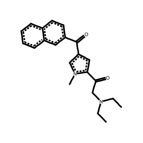 CCN(CC)CC(=O)c1cc(C(=O)c2ccc3ccccc3c2)cn1C